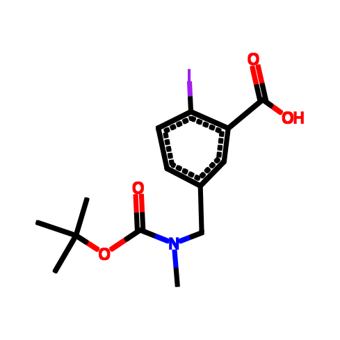 CN(Cc1ccc(I)c(C(=O)O)c1)C(=O)OC(C)(C)C